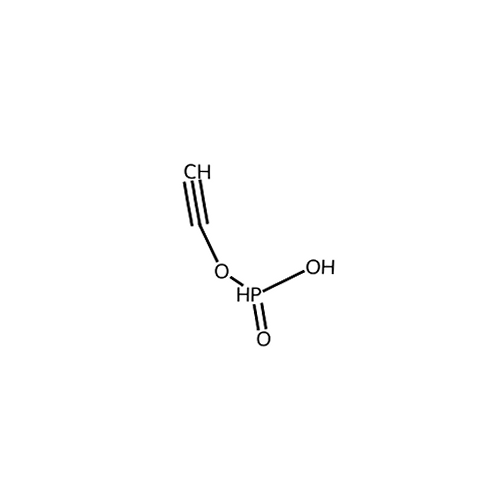 C#CO[PH](=O)O